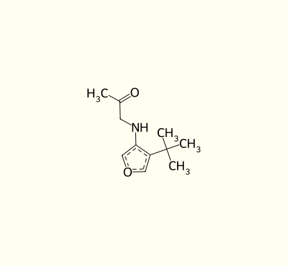 CC(=O)CNc1cocc1C(C)(C)C